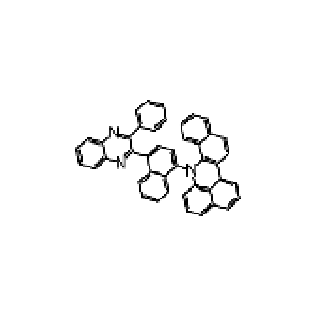 c1ccc(-c2nc3ccccc3nc2-c2ccc(N3c4c(ccc5ccccc45)-c4cccc5cccc3c45)c3ccccc23)cc1